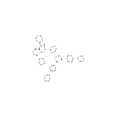 c1ccc(-c2ccc(-c3nc(-c4ccc(-c5ccccc5)cc4)nc(-c4cccc(-c5nc6c(-c7ccccc7)cccc6c6c5oc5ccccc56)c4)n3)cc2)cc1